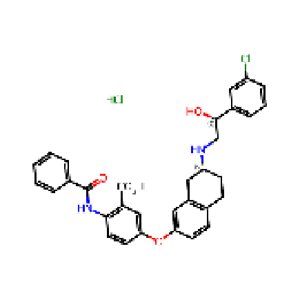 Cl.O=C(Nc1ccc(Oc2ccc3c(c2)C[C@@H](NC[C@@H](O)c2cccc(Cl)c2)CC3)cc1C(=O)O)c1ccccc1